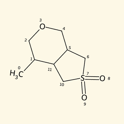 CC1COCC2CS(=O)(=O)CC12